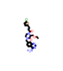 CCOCC1C(=O)N(Cc2ccc3c(N)ncnc3c2)CCN1C(=O)/C=C/c1ccc(Cl)s1